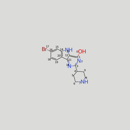 Oc1nc(C2CCNCC2)nc2c1[nH]c1cc(Br)ccc12